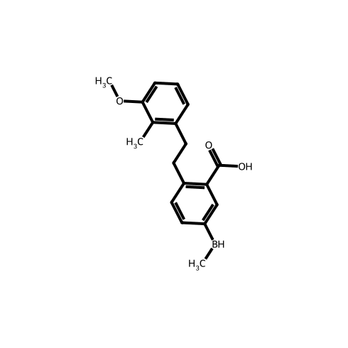 CBc1ccc(CCc2cccc(OC)c2C)c(C(=O)O)c1